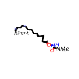 CCCCC/C=C\C/C=C\CCCCCCCCONC(=O)NC